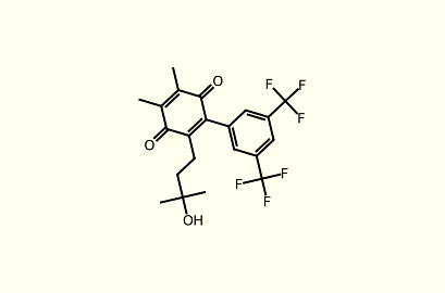 CC1=C(C)C(=O)C(c2cc(C(F)(F)F)cc(C(F)(F)F)c2)=C(CCC(C)(C)O)C1=O